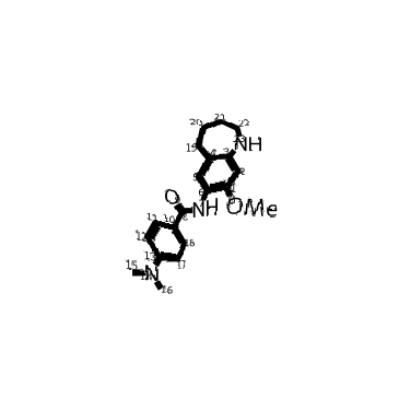 COc1cc2c(cc1NC(=O)c1ccc(N(C)C)cc1)CCCCN2